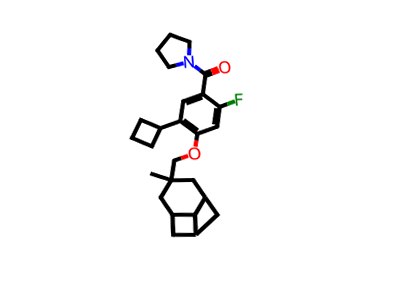 CC1(COc2cc(F)c(C(=O)N3CCCC3)cc2C2CCC2)CC2CC3CC(C1)C32